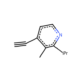 C#Cc1ccnc(C(C)C)c1C